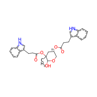 CC1(OC(=O)CCc2c[nH]c3ccccc23)C[C@H](OC(=O)CCc2c[nH]c3ccccc23)COC1O